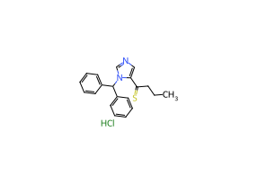 CCCC(=S)c1cncn1C(c1ccccc1)c1ccccc1.Cl